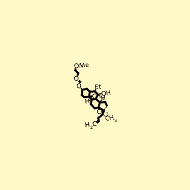 C=CC[C@@H](C)[C@H]1CC[C@H]2C3[C@H](O)[C@H](CC)C4C[C@H](OCOCCOC)CCC4(C)[C@H]3CCC12C